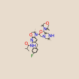 CC(C)C(=O)Nc1nc2c(cc1Cc1ccc(F)cc1)N(C(=O)CN1C[C@@H](C)NC[C@@H]1CN1[C@H](C)COC[C@H]1C)[C@@H](C)CO2